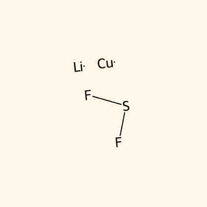 FSF.[Cu].[Li]